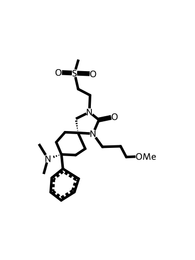 COCCCN1C(=O)N(CCS(C)(=O)=O)C[C@]12CC[C@@](c1ccccc1)(N(C)C)CC2